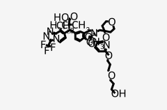 Cc1ccc([C@@H](c2ccn3c(C(F)(F)F)nnc3c2C)C(C)(C)C(=O)O)cc1CN1CC2(CCOCC2)Oc2nc(OCCCOCCCO)ccc2S1(=O)=O